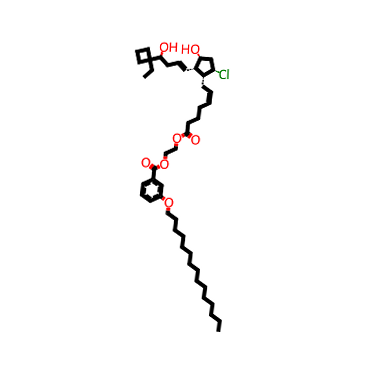 CCCCCCCCCCCCCCCOc1cccc(C(=O)OCCOC(=O)CCC/C=C\C[C@@H]2[C@H](/C=C/C[C@H](O)C3(CC)CCC3)[C@H](O)C[C@@H]2Cl)c1